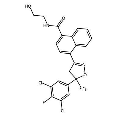 O=C(NCCO)c1ccc(C2=NOC(c3cc(Cl)c(F)c(Cl)c3)(C(F)(F)F)C2)c2ccccc12